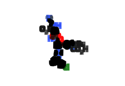 CN(C)CCCNc1ccc(S(=O)(=O)NC(=O)c2ccc(N3CCN(CC4=C(c5ccc(Cl)cc5)CC(C)(C)CC4)CC3)cc2Oc2ccc3c(c2)cc(C(C)(C)C)n3C(=O)O)cc1[N+](=O)[O-]